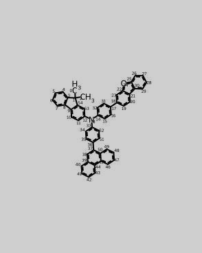 CC1(C)c2ccccc2-c2ccc(N(c3ccc(-c4ccc5c(c4)oc4ccccc45)cc3)c3ccc(-c4cc5ccccc5c5ccccc45)cc3)cc21